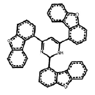 C1=C(c2cccc3oc4ccccc4c23)NC(c2cccc3oc4ccccc4c23)N=C1c1cccc2oc3ccccc3c12